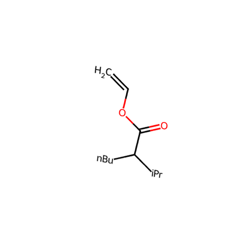 C=COC(=O)C(CCCC)C(C)C